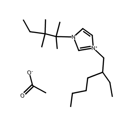 CC(=O)[O-].CCCCC(CC)C[n+]1ccn(C(C)(C)C(C)(C)CC)c1